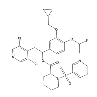 O=C(OC(Cc1c(Cl)cncc1Cl)c1ccc(OC(F)F)c(OCC2CC2)c1)C1CCCCN1S(=O)(=O)c1cccnc1